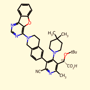 Cc1nc(C#N)c(-c2ccc3c(c2)CCN(c2ncnc4c2oc2ccccc24)C3)c(N2CCC(C)(C)CC2)c1[C@H](OC(C)(C)C)C(=O)O